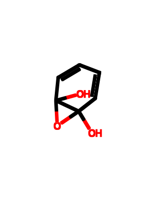 OC12C=CC=CC1(O)O2